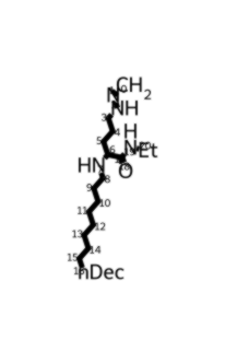 C=NNCCCC(NCCCCCCCCCCCCCCCCCC)C(=O)NCC